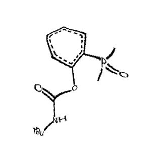 CC(C)(C)NC(=O)Oc1ccccc1P(C)(C)=O